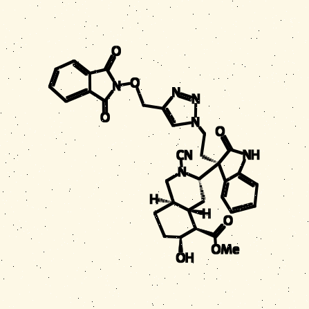 COC(=O)[C@@H]1[C@H]2C[C@@H]([C@@]3(CCn4cc(CON5C(=O)c6ccccc6C5=O)nn4)C(=O)Nc4ccccc43)N(C#N)C[C@@H]2CC[C@@H]1O